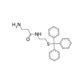 NCCC(=O)NCCSC(c1ccccc1)(c1ccccc1)c1ccccc1